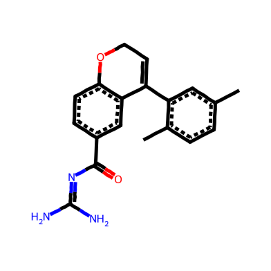 Cc1ccc(C)c(C2=CCOc3ccc(C(=O)N=C(N)N)cc32)c1